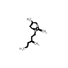 C=C(CCC)CCN1C(=C)N2CC(C)=CC1C2